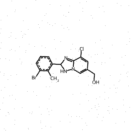 Cc1c(Br)cccc1C1N=C2C(Cl)=CC(CO)=CN2N1